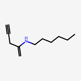 C#CCC(=C)NCCCCCC